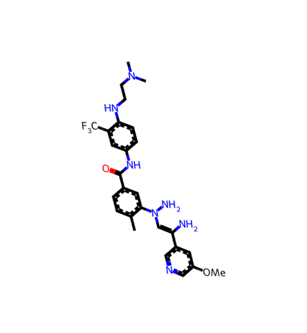 COc1cncc(/C(N)=C/N(N)c2cc(C(=O)Nc3ccc(NCCN(C)C)c(C(F)(F)F)c3)ccc2C)c1